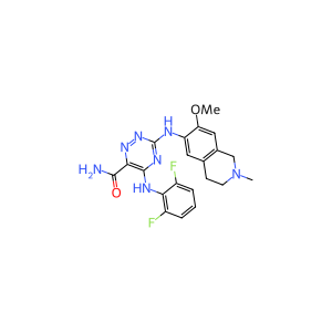 COc1cc2c(cc1Nc1nnc(C(N)=O)c(Nc3c(F)cccc3F)n1)CCN(C)C2